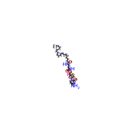 CC/C=C\C/C=C\C/C=C\C/C=C\C/C=C\CCCC(=O)NCCN[PH](=O)OC[C@@H]1OC(n2ccc(N)nc2=O)CS1